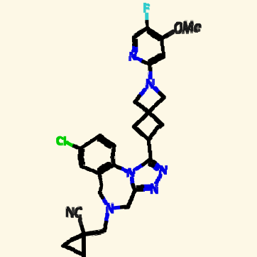 COc1cc(N2CC3(CC(c4nnc5n4-c4ccc(Cl)cc4CN(CC4(C#N)CC4)C5)C3)C2)ncc1F